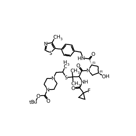 Cc1ncsc1-c1ccc(CNC(=O)[C@@H]2C[C@@H](O)CN2C(=O)C(NC(=O)C2(F)CC2)C(C)(C)SC(C)CN2CCN(C(=O)OC(C)(C)C)CC2)cc1